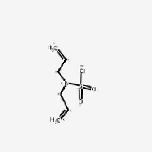 C=CCN(CC=C)S(=O)(=O)Cl